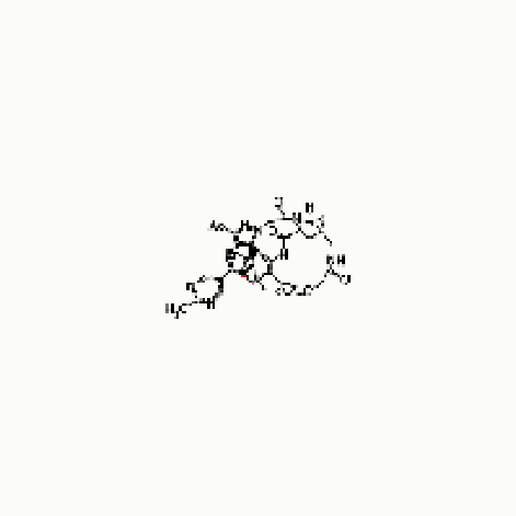 CC(=O)c1nn2c3c(cc(-c4cnc(C)nc4)cc13)CCCCCCC(=O)NC[C@@]13C[C@@H](C(=O)Nc4nc(Br)ccc4C4CC4)N(C(=O)C2)[C@@H]1C3